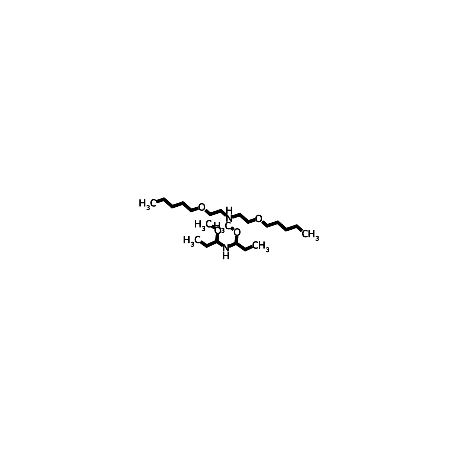 CCC(NC(CC)OC)OC.CCCCCOCCNCCOCCCCC